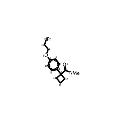 CNC(=O)C1(c2ccc(OCCC(C)C)cc2)CCC1